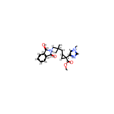 COC(=O)C1(c2cn(C)cn2)CC1CC(C)(C)CN1C(=O)c2ccccc2C1=O